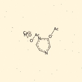 CC(=O)[O-].CC(=O)[O-].O.[Ca+2].c1cnccn1